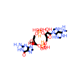 CNC1=C2NCN(c3oc4c(c3O)O[PH](O)(O)O/C=C3/OC(n5cnc6c(=O)[nH]c(N)nc65)=C(O[PH](O)(O)OC4)[C@@H]3O)C2NCN1